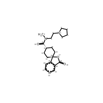 CN(CCN1CCCC1)C(=O)[C@H]1CC[C@@]2(CC1)OC(=O)c1cnccc12